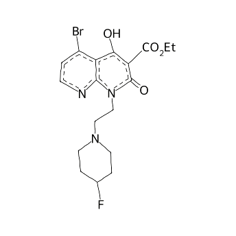 CCOC(=O)c1c(O)c2c(Br)ccnc2n(CCN2CCC(F)CC2)c1=O